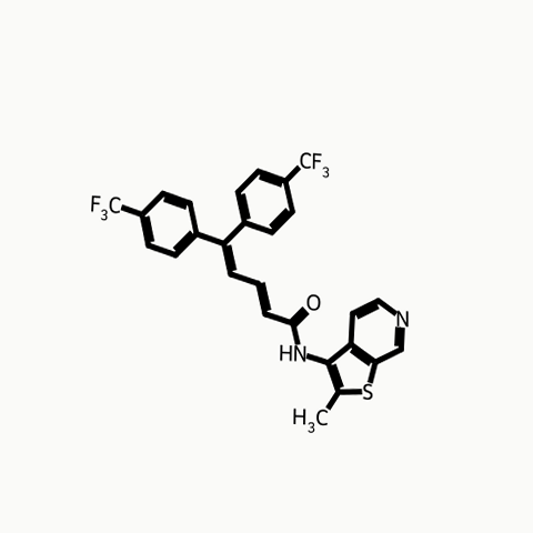 Cc1sc2cnccc2c1NC(=O)C=CC=C(c1ccc(C(F)(F)F)cc1)c1ccc(C(F)(F)F)cc1